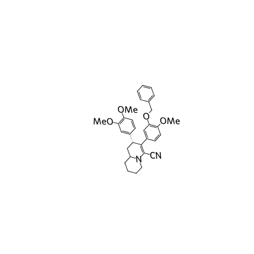 COc1ccc([C@H]2CC3CCCCN3C(C#N)=C2c2ccc(OC)c(OCc3ccccc3)c2)cc1OC